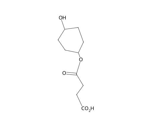 O=C(O)CCC(=O)OC1CCC(O)CC1